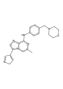 Cc1cn2c(C3=CCN=C3)cnc2c(Nc2ccc(CN3CCOCC3)cc2)n1